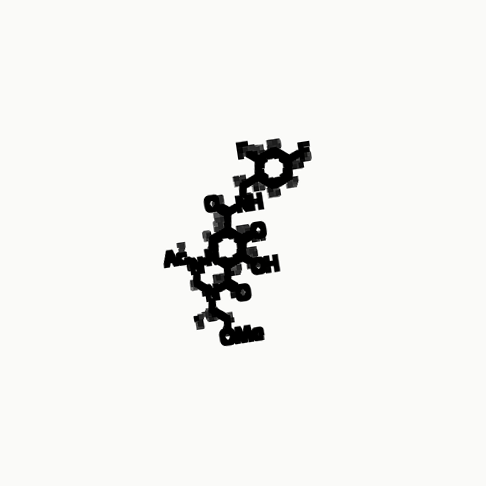 COC[C@H](C)N1CN(C(C)=O)n2cc(C(=O)NCc3ccc(F)cc3F)c(=O)c(O)c2C1=O